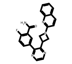 NC(=O)c1cc(-c2nccnc2C2CN(c3ccc4ccccc4n3)C2)ccc1F